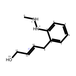 CNNc1ccccc1C/C=C/CO